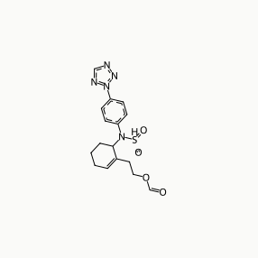 O=COCCC1=CCCCC1N(c1ccc(-n2ncnn2)cc1)[SH](=O)=O